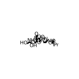 CC(C)C(=O)ONc1ccn([C@@H]2OC(COC(O)[C@H](N)CO)[C@H]3OC(=O)O[C@H]32)c(=O)n1